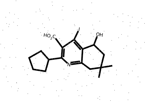 CC1(C)Cc2nc(C3CCCC3)c(C(=O)O)c(I)c2C(O)C1